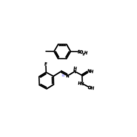 Cc1ccc(S(=O)(=O)O)cc1.N=C(NO)N/N=C/c1ccccc1F